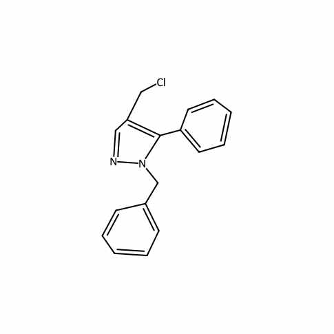 ClCc1cnn(Cc2ccccc2)c1-c1ccccc1